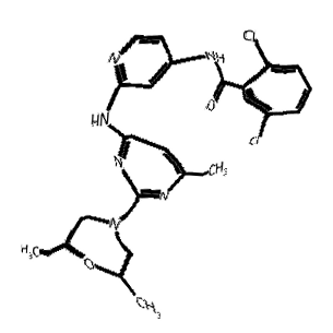 Cc1cc(Nc2cc(NC(=O)c3c(Cl)cccc3Cl)ccn2)nc(N2CC(C)OC(C)C2)n1